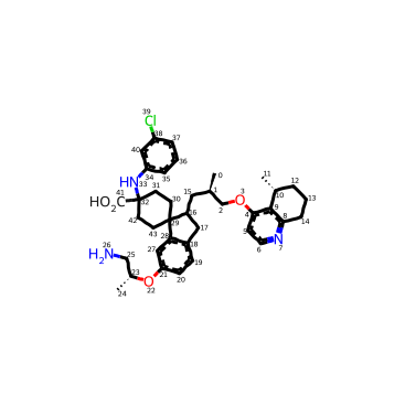 C[C@@H](COc1ccnc2c1[C@H](C)CCC2)CC1Cc2ccc(O[C@H](C)CN)cc2C12CCC(Nc1cccc(Cl)c1)(C(=O)O)CC2